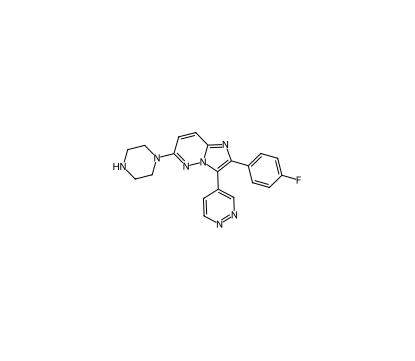 Fc1ccc(-c2nc3ccc(N4CCNCC4)nn3c2-c2ccnnc2)cc1